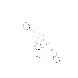 CC(=O)Oc1ccc2c3c1OC1C(N(C)C(=O)Cc4ccc(Cl)c(Cl)c4)CC[C@@]4(O)[C@@H](C2)N(CCc2ccccc2)CC[C@]314